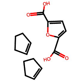 C1=CCCC1.C1=CCCC1.O=C(O)c1ccc(C(=O)O)o1